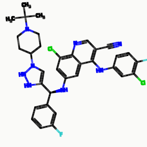 CC(C)(C)N1CCC(N2C=C([C@@H](Nc3cc(Cl)c4ncc(C#N)c(Nc5ccc(F)c(Cl)c5)c4c3)c3cccc(F)c3)NN2)CC1